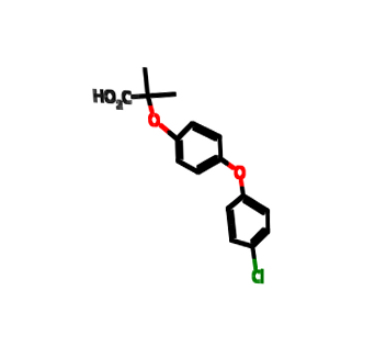 CC(C)(Oc1ccc(Oc2ccc(Cl)cc2)cc1)C(=O)O